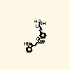 O=C(/C=C/c1cccc(S(=O)(=O)NCCC2=CNC3C=CC=CC23)c1)NO